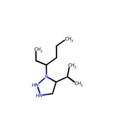 CCCC(CC)N1NNCC1C(C)C